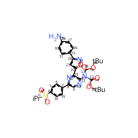 CC(C)S(=O)(=O)c1ccc(-c2cnc(N(C(=O)OC(C)(C)C)C(=O)OC(C)(C)C)c(-c3cc(-c4ccc(N)cc4)no3)n2)cc1